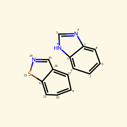 c1ccc2[nH]cnc2c1.c1ccc2sncc2c1